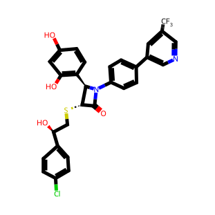 O=C1[C@H](SC[C@H](O)c2ccc(Cl)cc2)[C@@H](c2ccc(O)cc2O)N1c1ccc(-c2cncc(C(F)(F)F)c2)cc1